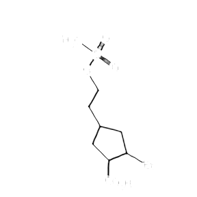 CCC1CC(CCOS(C)(=O)=O)CC1C(=O)O